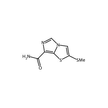 CSc1cn2cnc(C(N)=O)c2s1